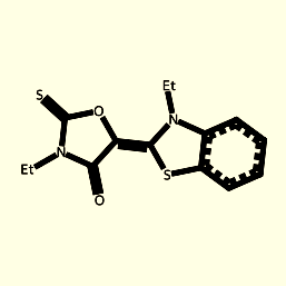 CCN1C(=O)C(=C2Sc3ccccc3N2CC)OC1=S